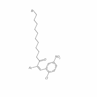 CC(=O)C(=Cc1cc([N+](=O)[O-])ccc1Cl)C(=O)CCCCCCCCCCBr